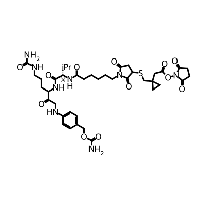 CC(C)[C@H](NC(=O)CCCCCN1C(=O)CC(SCC2(CC(=O)ON3C(=O)CCC3=O)CC2)C1=O)C(=O)NC(CCCNC(N)=O)C(=O)CNc1ccc(COC(N)=O)cc1